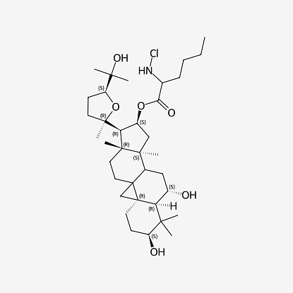 CCCCC(NCl)C(=O)O[C@H]1C[C@@]2(C)C3C[C@H](O)[C@H]4C(C)(C)[C@@H](O)CC[C@@]45CC35CC[C@]2(C)[C@H]1[C@@]1(C)CC[C@@H](C(C)(C)O)O1